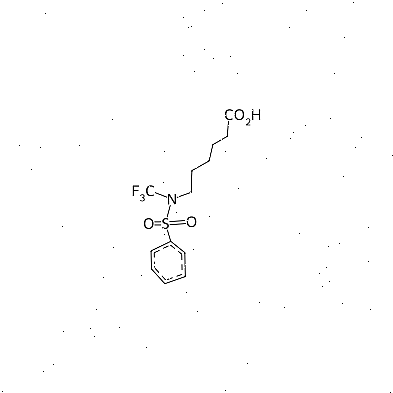 O=C(O)CCCCCN(C(F)(F)F)S(=O)(=O)c1ccccc1